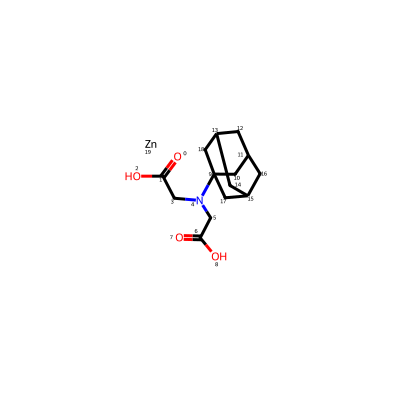 O=C(O)CN(CC(=O)O)C12CC3CC(CC(C3)C1)C2.[Zn]